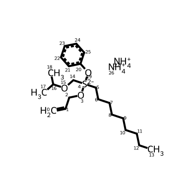 C=CCO[S-2](CCCCCCCCC)(COC(C)C)Oc1ccccc1.[NH4+].[NH4+]